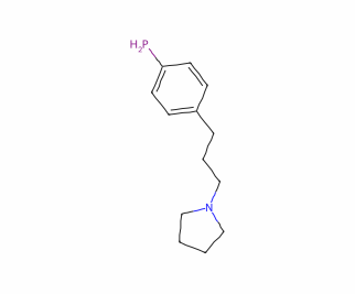 Pc1ccc(CCCN2CCCC2)cc1